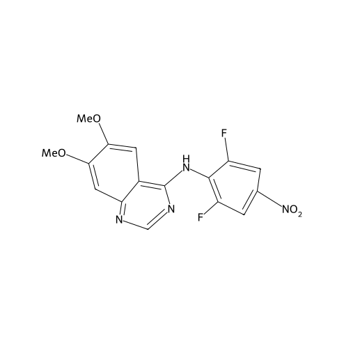 COc1cc2ncnc(Nc3c(F)cc([N+](=O)[O-])cc3F)c2cc1OC